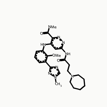 CNC(=O)c1nnc(NC(=O)CCN2CCCCCC2)cc1Nc1cccc(-c2ncn(C)n2)c1OC